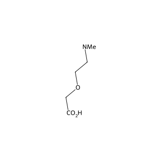 CNCCOCC(=O)O